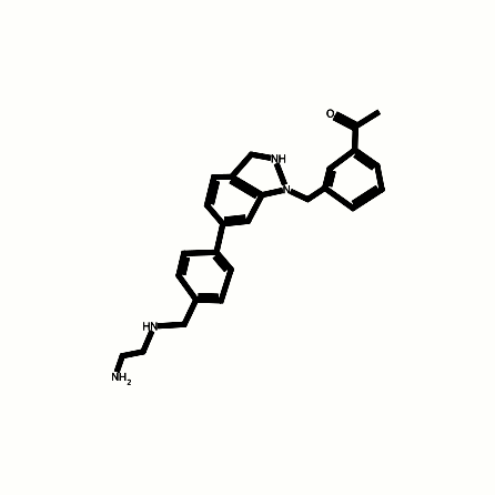 CC(=O)c1cccc(CN2NCc3ccc(-c4ccc(CNCCN)cc4)cc32)c1